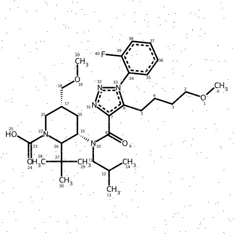 COCCCCc1c(C(=O)N(CC(C)C)[C@H]2C[C@@H](COC)CN(C(=O)O)C2C(C)(C)C)nnn1-c1ccccc1F